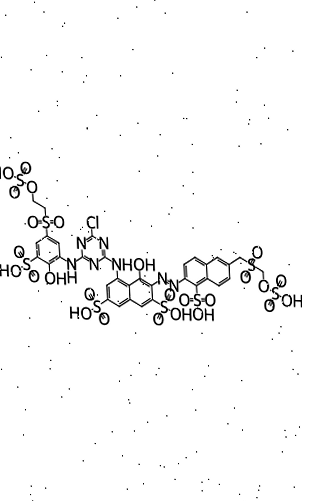 O=S(=O)(COS(=O)(=O)O)Cc1ccc2c(S(=O)(=O)O)c(/N=N/c3c(S(=O)(=O)O)cc4cc(S(=O)(=O)O)cc(Nc5nc(Cl)nc(Nc6cc(S(=O)(=O)CCOS(=O)(=O)O)cc(S(=O)(=O)O)c6O)n5)c4c3O)ccc2c1